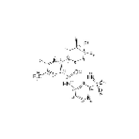 Cc1nc(N2CCC(F)(F)[C@H](C)C2)c(C(=O)Nc2ccnc([S@](C)(=N)=O)c2)cc1C(F)(F)F